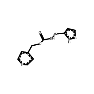 O=C(NNc1ccn[nH]1)OCc1ccncc1